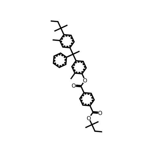 CCC(C)(C)OC(=O)c1ccc(C(=O)Oc2ccc(C(C)(c3ccccc3)c3ccc(C(C)(C)CC)c(C)c3)cc2C)cc1